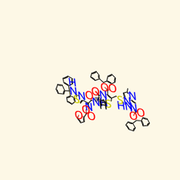 CC1=NC2=CN(C(=O)OC(c3ccccc3)c3ccccc3)NN2C(SCC2=C(C(=O)OC(c3ccccc3)c3ccccc3)N3C(=O)[C@@H](NC(=O)C(=NOC(=O)c4ccco4)c4csc(NC(c5ccccc5)(c5ccccc5)c5ccccc5)n4)[C@H]3SC2)=C1